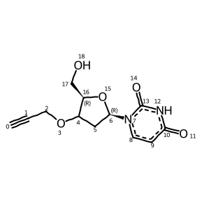 C#CCOC1C[C@H](n2ccc(=O)[nH]c2=O)O[C@@H]1CO